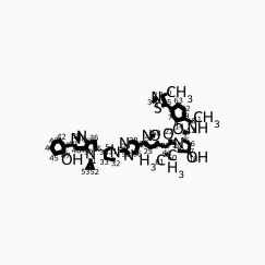 Cc1ncsc1-c1ccc([C@H](C)NC(=O)[C@@H]2C[C@@H](O)CN2C(=O)[C@@H](c2cc(-c3cnc(N4CC[C@H](c5cc6nnc(-c7ccccc7O)cc6n5C5CC5)C4)nc3)no2)C(C)C)cc1